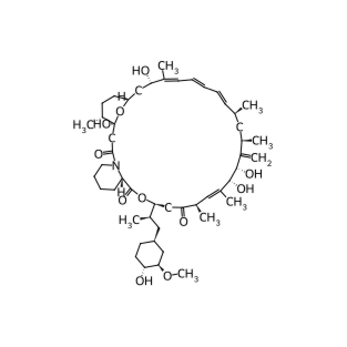 C=C1[C@H](C)C[C@H](C)/C=C/C=C/C=C(\C)[C@@H](O)C[C@@H]2CC[C@@H](C)[C@](O)(CC(=O)N3CCCC[C@H]3C(=O)O[C@H]([C@H](C)C[C@@H]3CC[C@@H](O)[C@H](OC)C3)CC(=O)[C@H](C)/C=C(\C)[C@@H](O)[C@H]1O)O2